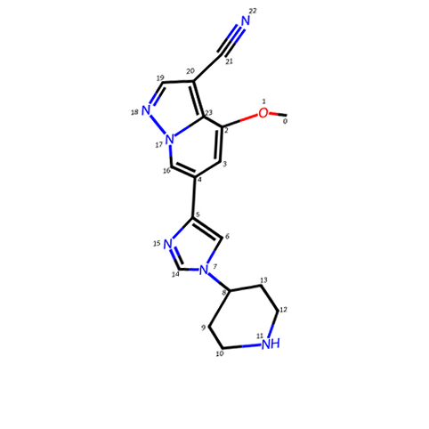 COc1cc(-c2cn(C3CCNCC3)cn2)cn2ncc(C#N)c12